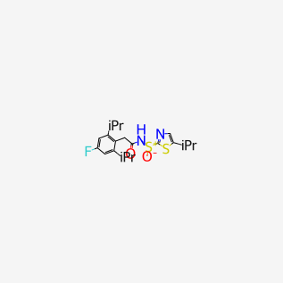 CC(C)c1cnc([S+]([O-])NC(=O)Cc2c(C(C)C)cc(F)cc2C(C)C)s1